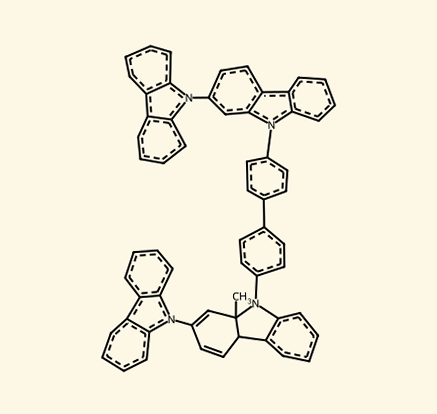 CC12C=C(n3c4ccccc4c4ccccc43)C=CC1c1ccccc1N2c1ccc(-c2ccc(-n3c4ccccc4c4ccc(-n5c6ccccc6c6ccccc65)cc43)cc2)cc1